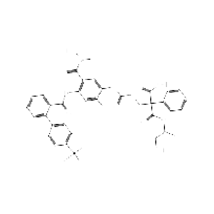 CCC(C)OC(=O)C(COC(=O)Oc1cc(C(=O)N(C)C)c(NC(=O)c2ccccc2-c2ccc(C(F)(F)F)cc2)cc1F)(C(=O)O)c1ccccc1